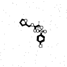 C[C@H](OS(=O)(=O)c1ccc(Cl)cc1)C(=O)OCC1CCCO1